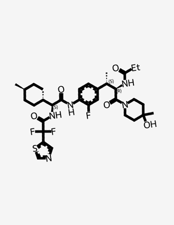 CCC(=O)N[C@@H](C(=O)N1CCC(C)(O)CC1)[C@@H](C)c1ccc(NC(=O)[C@@H](NC(=O)C(F)(F)c2cncs2)[C@H]2CC[C@H](C)CC2)c(F)c1